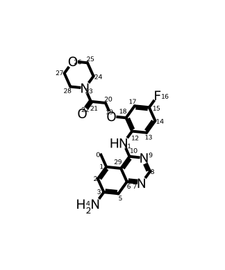 Cc1cc(N)cc2ncnc(Nc3ccc(F)cc3OCC(=O)N3CCOCC3)c12